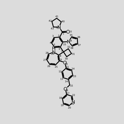 O=C(c1cccc(C2(C3=C(Oc4ccc(COc5cccnc5)cc4)C=CC=CN3)CCC2)c1-n1cccc1)N1CCCC1